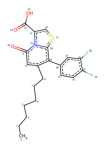 CCCCCCCc1cc(=O)n2c(C(=O)O)csc2c1-c1ccc(F)c(F)c1